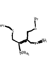 CN/C(CSC(C)C)=C(/CSC(C)C)N=N